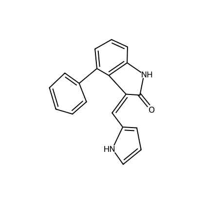 O=C1Nc2cccc(-c3ccccc3)c2/C1=C/c1ccc[nH]1